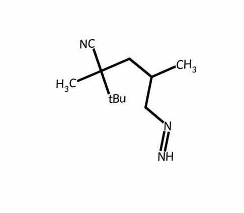 CC(CN=N)CC(C)(C#N)C(C)(C)C